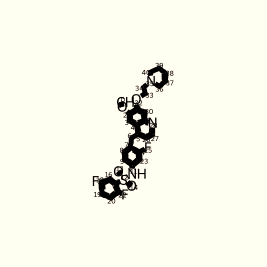 COc1cc2c(Cc3ccc(NS(=O)(=O)c4cc(F)ccc4F)cc3F)ccnc2cc1OCCN1CC=CCC1